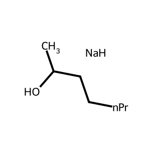 CCCCCC(C)O.[NaH]